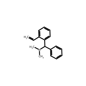 C=Cc1ccccc1C(c1ccccc1)N(C)C